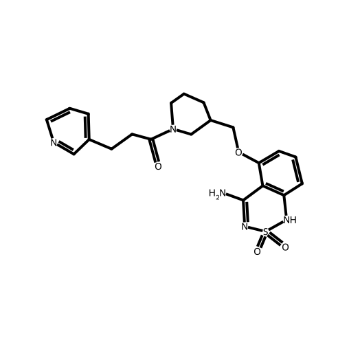 NC1=NS(=O)(=O)Nc2cccc(OCC3CCCN(C(=O)CCc4cccnc4)C3)c21